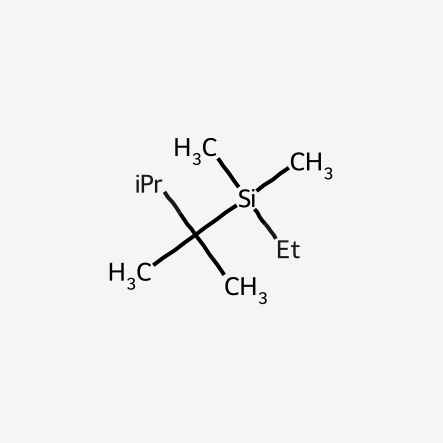 CC[Si](C)(C)C(C)(C)C(C)C